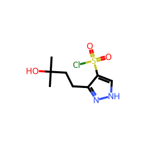 CC(C)(O)CCc1n[nH]cc1S(=O)(=O)Cl